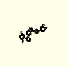 Cn1ccc(-c2cnn(-c3cnn4ccc(N5CCC[C@@H]5c5cc(F)ccc5F)nc34)c2)cc1=O